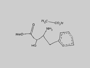 CC(=O)O.COC(=O)C(O)C(N)Cc1ccccc1